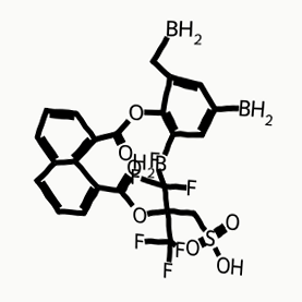 BCc1cc(B)cc(B)c1OC(=O)c1cccc2cccc(C(=O)OC(CS(=O)(=O)O)(C(F)(F)F)C(F)(F)F)c12